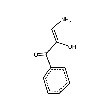 NC=C(O)C(=O)c1ccccc1